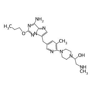 CCCOc1nc(N)c2ncc(Cc3cnc(N4CCN(C(O)CNC)CC4)c(C)c3)n2n1